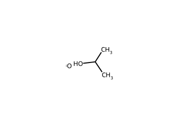 CC(C)O.[O]